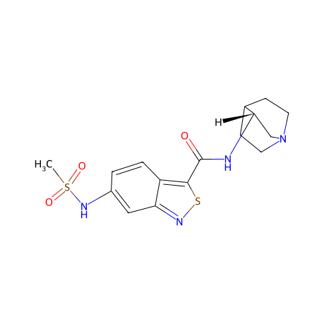 CS(=O)(=O)Nc1ccc2c(C(=O)N[C@H]3CN4CCC3CC4)snc2c1